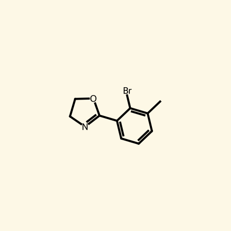 Cc1cccc(C2=NCCO2)c1Br